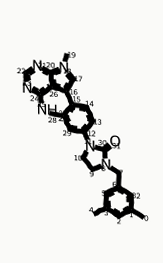 Cc1cc(C)cc(CN2CCN(c3ccc(-c4cn(C)c5ncnc(N)c45)c(C)c3)C2=O)c1